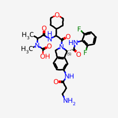 CC(C(=O)NC(C(=O)N1Cc2ccc(NC(=O)CCN)cc2[C@H]1C(=O)Nc1c(F)cccc1F)C1CCOCC1)N(C)C(=O)O